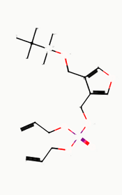 C=CCOP(=O)(OCC=C)OCc1cocc1CO[Si](C)(C)C(C)(C)C